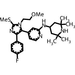 COCCn1c(SC)nc(-c2ccc(F)cc2)c1-c1ccnc(NC2CC(C)(C)NC(C)(C)C2)c1